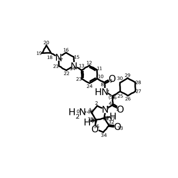 N[C@@H]1CN(C(=O)[C@@H](NC(=O)c2ccc(N3CCN(C4CC4)CC3)cc2)C2CCCCC2)[C@@H]2C(=O)CO[C@H]12